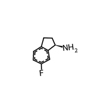 N[C@@H]1CCc2ccc(F)cc21